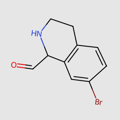 O=CC1NCCc2ccc(Br)cc21